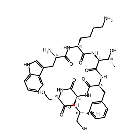 C[C@@H](O)[C@H](NC(=O)[C@H](CCCCN)NC(=O)[C@@H](N)Cc1c[nH]c2ccccc12)C(=O)N[C@@H](Cc1ccccc1)C(=O)N[C@@H](CO)C(=O)N[C@@H](CO)C(=O)N[C@@H](CS)C(=O)O